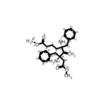 C=C([C@@](N)(CCCC(=O)OC)Cc1ccccc1)[C@](N)(CC(=O)OC)Cc1ccccc1